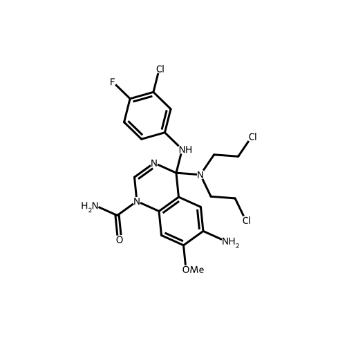 COc1cc2c(cc1N)C(Nc1ccc(F)c(Cl)c1)(N(CCCl)CCCl)N=CN2C(N)=O